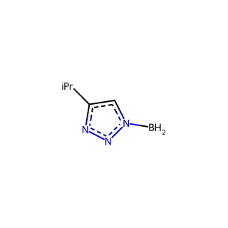 Bn1cc(C(C)C)nn1